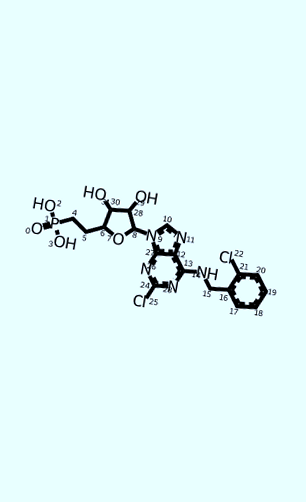 O=P(O)(O)CCC1OC(n2cnc3c(NCc4ccccc4Cl)nc(Cl)nc32)C(O)C1O